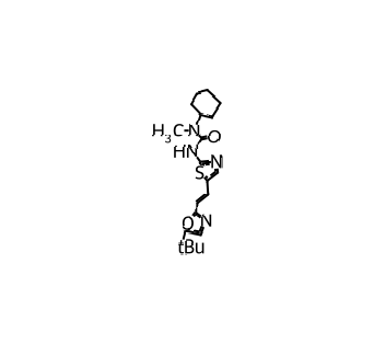 CN(C(=O)Nc1ncc(C=Cc2ncc(C(C)(C)C)o2)s1)C1CCCCC1